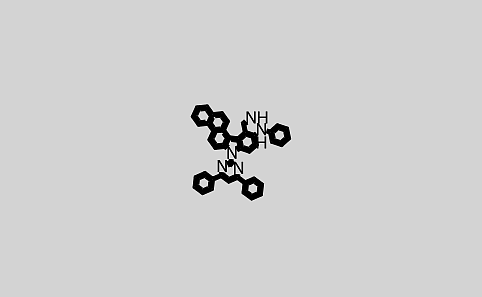 N=Cc1c(Nc2ccccc2)ccc2c1c1c3ccc4ccccc4c3ccc1n2-c1nc(-c2ccccc2)cc(-c2ccccc2)n1